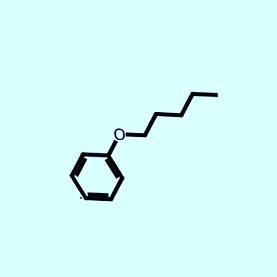 CCCCCOc1cc[c]cc1